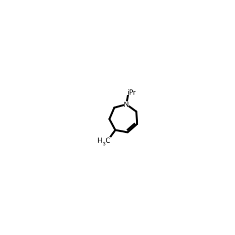 CC1C=CCN(C(C)C)CC1